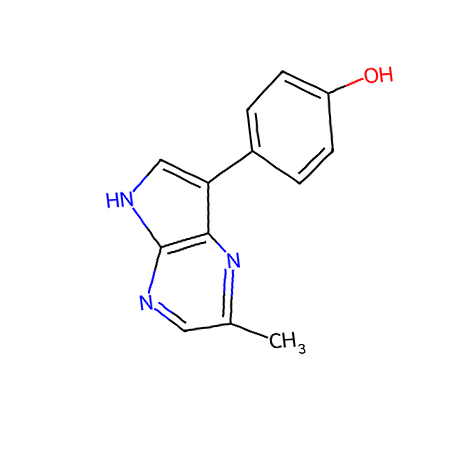 Cc1cnc2[nH]cc(-c3ccc(O)cc3)c2n1